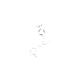 OCC(CO[C@@H]1CCC[C@H](O)C1)OCc1ccc(C(F)(F)F)cc1